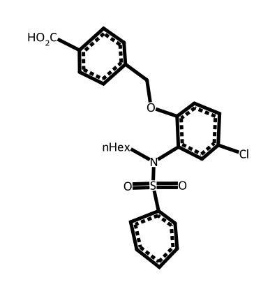 CCCCCCN(c1cc(Cl)ccc1OCc1ccc(C(=O)O)cc1)S(=O)(=O)c1ccccc1